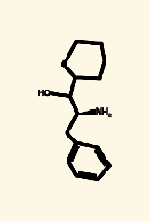 N[C@@H](Cc1ccccc1)C(O)C1CCCCC1